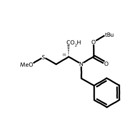 COSC[C@H](C(=O)O)N(Cc1ccccc1)C(=O)OC(C)(C)C